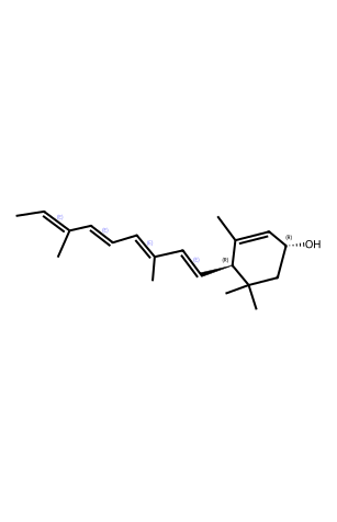 C/C=C(C)/C=C/C=C(C)/C=C/[C@H]1C(C)=C[C@H](O)CC1(C)C